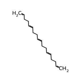 C=CCCC=CCCC=CCCC=CCCC=C